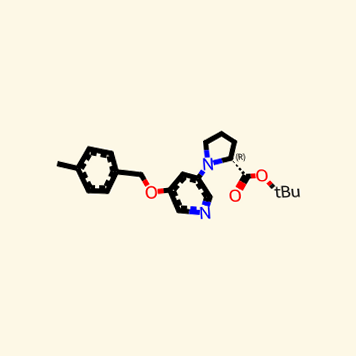 Cc1ccc(COc2cncc(N3CCC[C@@H]3C(=O)OC(C)(C)C)c2)cc1